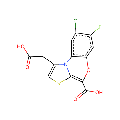 O=C(O)CC1=CSC2=C(C(=O)O)Oc3cc(F)c(Cl)cc3N12